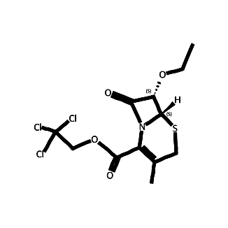 CCO[C@H]1C(=O)N2C(C(=O)OCC(Cl)(Cl)Cl)=C(C)CS[C@@H]12